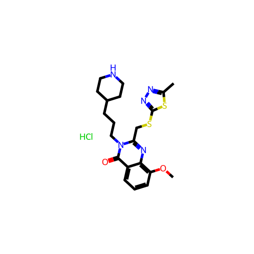 COc1cccc2c(=O)n(CCCC3CCNCC3)c(CSc3nnc(C)s3)nc12.Cl